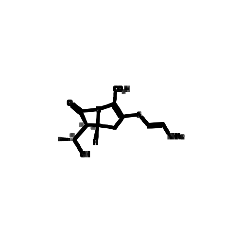 CC(=O)NC=CSC1=C(C(=O)O)N2C(=O)[C@H]([C@@H](C)O)[C@H]2C1